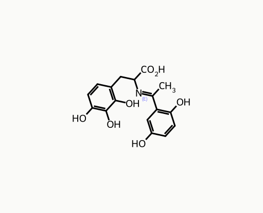 C/C(=N\C(Cc1ccc(O)c(O)c1O)C(=O)O)c1cc(O)ccc1O